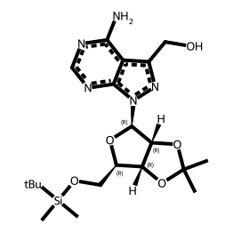 CC1(C)O[C@@H]2[C@H](O1)[C@@H](CO[Si](C)(C)C(C)(C)C)O[C@H]2n1nc(CO)c2c(N)ncnc21